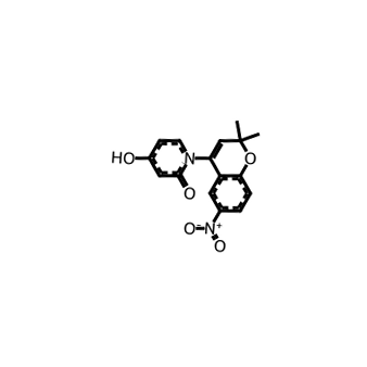 CC1(C)C=C(n2ccc(O)cc2=O)c2cc([N+](=O)[O-])ccc2O1